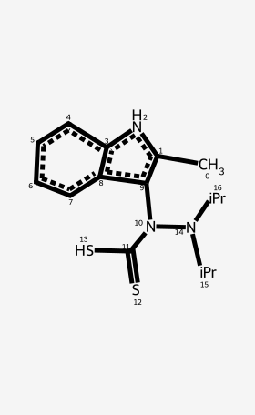 Cc1[nH]c2ccccc2c1N(C(=S)S)N(C(C)C)C(C)C